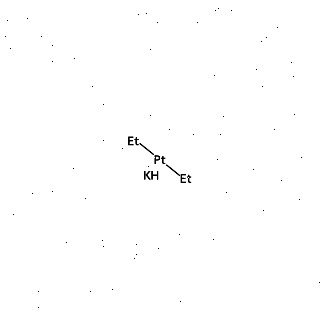 C[CH2][Pt][CH2]C.[KH]